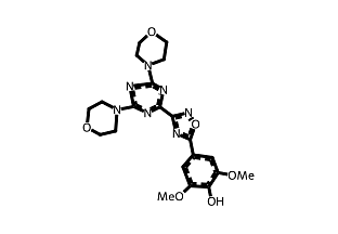 COc1cc(-c2nc(-c3nc(N4CCOCC4)nc(N4CCOCC4)n3)no2)cc(OC)c1O